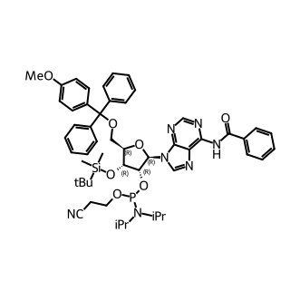 COc1ccc(C(OC[C@H]2O[C@@H](n3cnc4c(NC(=O)c5ccccc5)ncnc43)[C@H](OP(OCCC#N)N(C(C)C)C(C)C)[C@@H]2O[Si](C)(C)C(C)(C)C)(c2ccccc2)c2ccccc2)cc1